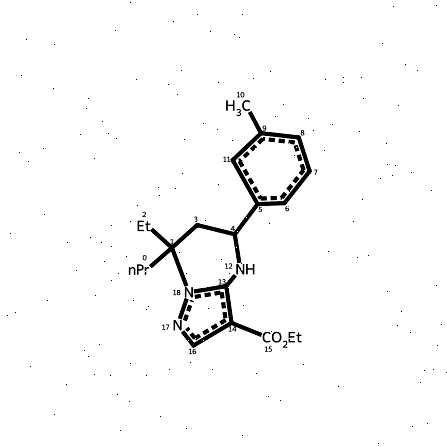 CCCC1(CC)CC(c2cccc(C)c2)Nc2c(C(=O)OCC)cnn21